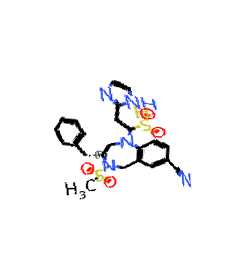 CS(=O)(=O)N1Cc2cc(C#N)ccc2N(C(Cc2ncc[nH]2)[SH](=O)=O)C[C@H]1Cc1ccccc1